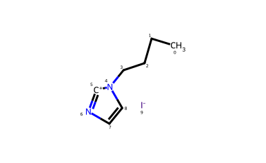 CCCCN1[C+]=NC=C1.[I-]